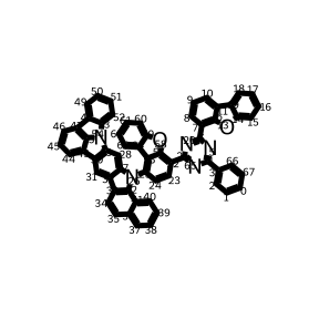 c1ccc(-c2nc(-c3cccc4c3oc3ccccc34)nc(-c3ccc(-n4c5cc6c(cc5c5ccc7ccccc7c54)c4cccc5c7ccccc7n6c54)c4c3oc3ccccc34)n2)cc1